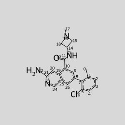 Cc1cccc(Cl)c1-c1cc(C(=O)NC2CN(C)C2)c2cc(N)ncc2c1